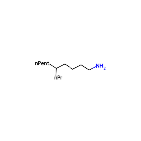 CCCCCC(CCC)CCCCN